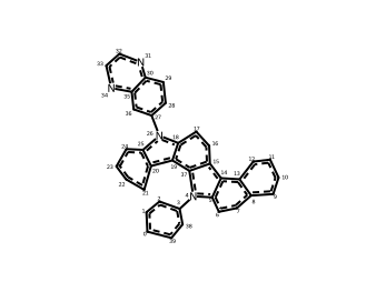 c1ccc(-n2c3ccc4ccccc4c3c3ccc4c(c5ccccc5n4-c4ccc5nccnc5c4)c32)cc1